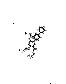 CCOC(=O)C(=CN1CCN(C)c2c1ccc(-c1cccnc1)c2F)C(=O)OCC